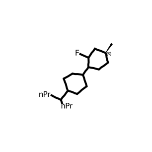 CCCC(CCC)C1CCC(C2CC[C@H](C)CC2F)CC1